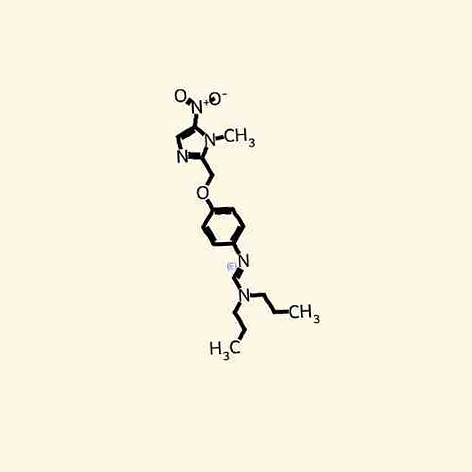 CCCN(/C=N/c1ccc(OCc2ncc([N+](=O)[O-])n2C)cc1)CCC